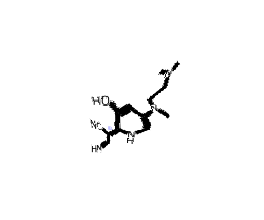 CN(C)CCN(C)C1=CN/C(=C(/C#N)C=N)C(O)=C1